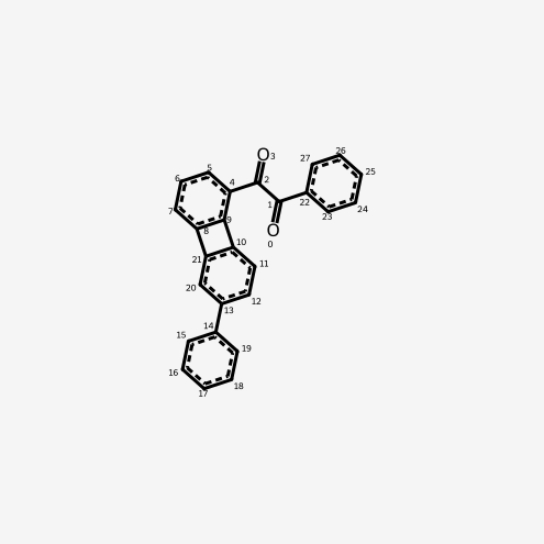 O=C(C(=O)c1cccc2c1-c1ccc(-c3ccccc3)cc1-2)c1ccccc1